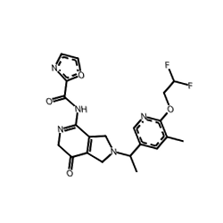 Cc1cc(C(C)N2CC3=C(C2)C(NC(=O)c2ncco2)=NCC3=O)cnc1OCC(F)F